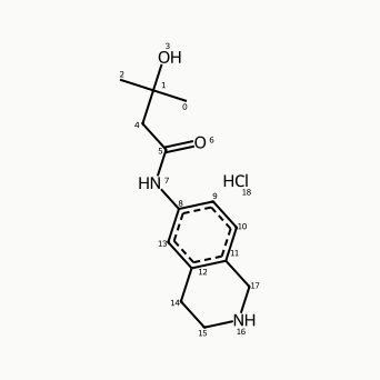 CC(C)(O)CC(=O)Nc1ccc2c(c1)CCNC2.Cl